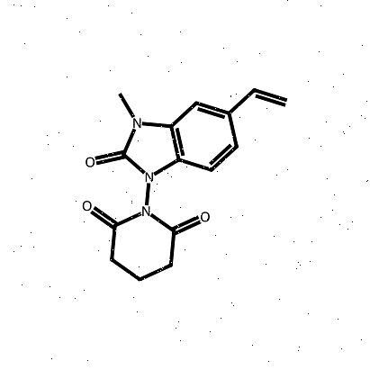 C=Cc1ccc2c(c1)n(C)c(=O)n2N1C(=O)CCCC1=O